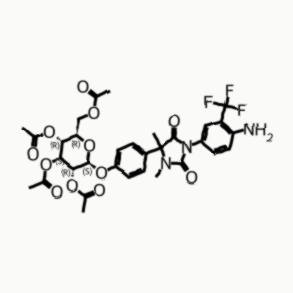 CC(=O)OC[C@H]1O[C@@H](Oc2ccc(C3(C)C(=O)N(c4ccc(N)c(C(F)(F)F)c4)C(=O)N3C)cc2)[C@H](OC(C)=O)[C@@H](OC(C)=O)[C@@H]1OC(C)=O